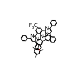 Cc1cc(C)c(-c2ccc3c(c2)c2ccccc2n3-c2c(-c3nc(-c4ccccc4)cc(-c4ccccc4)n3)cc(C(F)(F)F)cc2-c2nc(-c3ccccc3)cc(-c3ccccc3)n2)c(C)c1